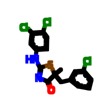 CC1(Cc2cccc(Cl)c2)SC(Nc2ccc(Cl)c(Cl)c2)=NC1=O